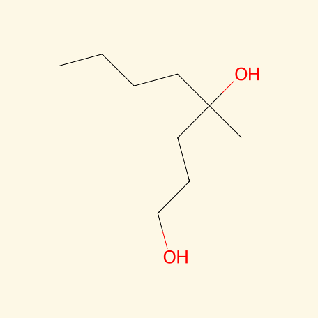 CCCCC(C)(O)CCCO